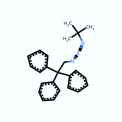 CC(C)(C)N=C=NCC(c1ccccc1)(c1ccccc1)c1ccccc1